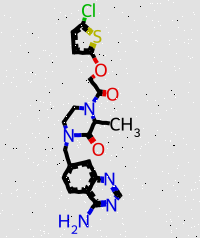 CC1C(=O)N(Cc2ccc3c(N)ncnc3c2)CCN1C(=O)COc1ccc(Cl)s1